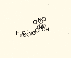 CO[C@@H]1CCN(COc2ccc3c(c2)cc(-c2cc4ccccc4nc2Cl)n3C(=O)O)C1